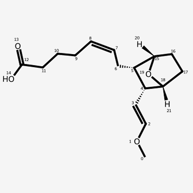 COC=C[C@@H]1[C@H](C/C=C\CCCC(=O)O)[C@@H]2CC[C@H]1O2